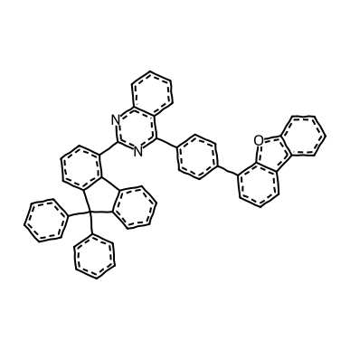 c1ccc(C2(c3ccccc3)c3ccccc3-c3c(-c4nc(-c5ccc(-c6cccc7c6oc6ccccc67)cc5)c5ccccc5n4)cccc32)cc1